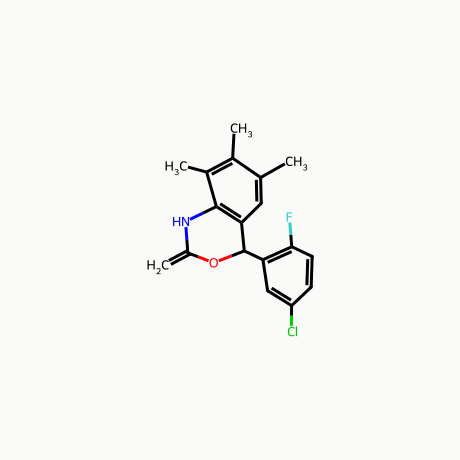 C=C1Nc2c(cc(C)c(C)c2C)C(c2cc(Cl)ccc2F)O1